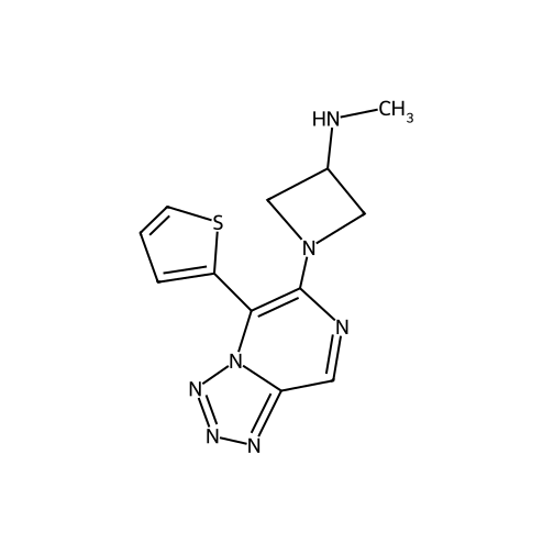 CNC1CN(c2ncc3nnnn3c2-c2cccs2)C1